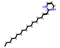 CCCCCCCCCCCCCCCC=CC1NC=CCN1